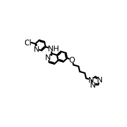 Clc1ccc(Nc2nccc3cc(OCCCCCn4cncn4)ccc23)cn1